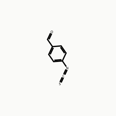 O=Cc1ccc(N=C=S)cc1